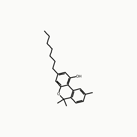 CCCCCCCc1cc(O)c2c(c1)OC(C)(C)c1ccc(C)cc1-2